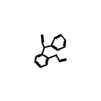 C=CCc1ccccc1C(C=C)c1ccccc1